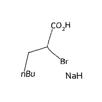 CCCCCC(Br)C(=O)O.[NaH]